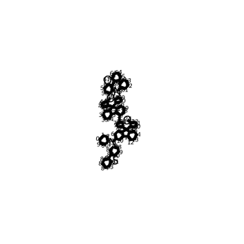 c1ccc(N(c2ccc3c(c2)-c2ccccc2C32c3ccccc3Oc3c(-c4cccc5c4-c4ccccc4C54c5ccccc5Oc5c(N(c6ccccc6)c6cccc7oc8ccccc8c67)cccc54)cccc32)c2ccc3sc4ccccc4c3c2)cc1